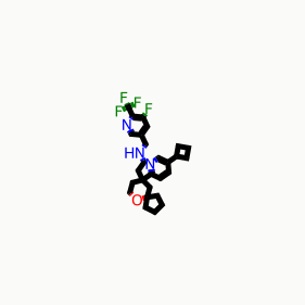 Fc1cc(CNCCC2(c3ccc(C4CCC4)cn3)CCOC3(CCCC3)C2)cnc1C(F)(F)F